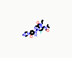 C=CCn1c(=O)c2cnc(Nc3ccc(N4CCN(C)CC4)c(OC)c3)nc2n1C(/C=C(\C)F)=C/N(C=O)C(C)C